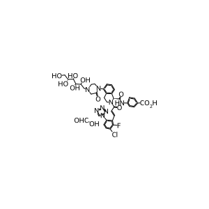 O=C(O)c1ccc(NC(=O)[C@@H]2c3cccc(N4CCN(C[C@H](O)[C@@H](O)[C@H](O)[C@H](O)CO)CC4=O)c3CCN2C(=O)/C=C/c2c(-n3cnnn3)ccc(Cl)c2F)cc1.O=CO